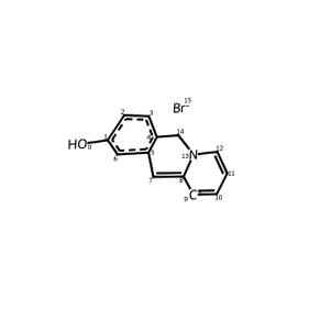 Oc1ccc2c(c1)C=C1[C+]=CC=CN1C2.[Br-]